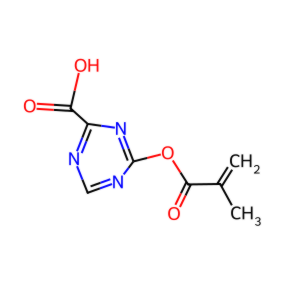 C=C(C)C(=O)Oc1ncnc(C(=O)O)n1